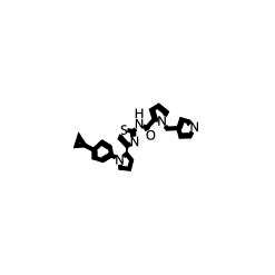 O=C(Nc1nc([C@H]2CCCN2c2ccc(C3CC3)cc2)cs1)c1cccn1Cc1ccncc1